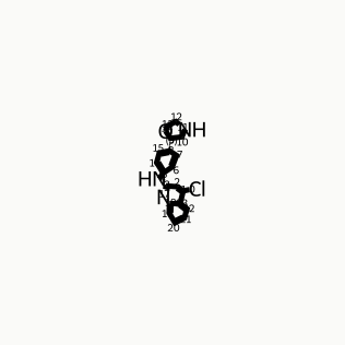 Clc1cc(Nc2ccc([C@H]3CNCCO3)cc2)nc2ccccc12